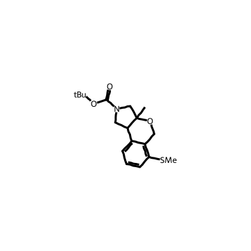 CSc1cccc2c1COC1(C)CN(C(=O)OC(C)(C)C)CC21